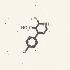 CCCC1NCC=C(c2ccc(Cl)cc2)C1C(=O)O